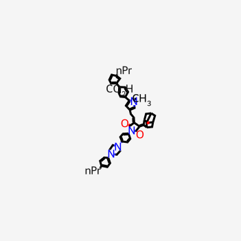 CCCc1ccc(N2CCN(c3ccc(N4C(=O)C(=CCc5cc(-c6ccc(-c7cc(CCC)ccc7C(=O)O)cc6)n(C)c5)C(=C5C6CC7CC(C6)CC5C7)C4=O)cc3)CC2)cc1